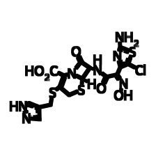 Nc1nc(/C(=N/O)C(=O)N[C@@H]2C(=O)N3C(C(=O)O)=C(SCc4cn[nH]c4)CS[C@@H]23)c(Cl)s1